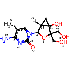 Cc1cn([C@@H]2OC(CO)(CO)C3(O)C[C@@H]23)c(=O)nc1N